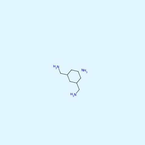 N.NCC1CCCC(CN)C1